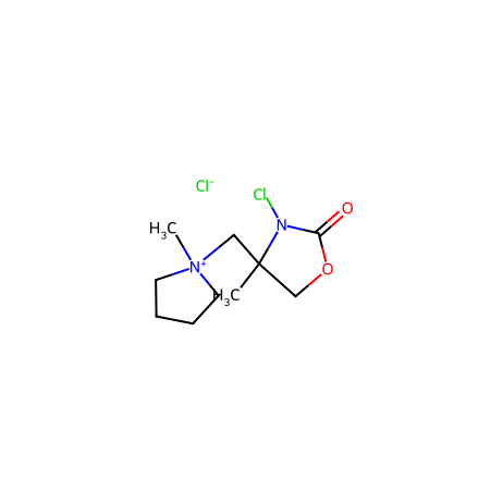 CC1(C[N+]2(C)CCCC2)COC(=O)N1Cl.[Cl-]